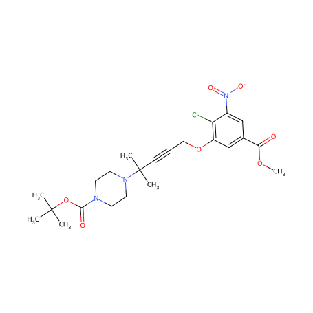 COC(=O)c1cc(OCC#CC(C)(C)N2CCN(C(=O)OC(C)(C)C)CC2)c(Cl)c([N+](=O)[O-])c1